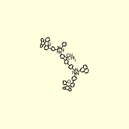 CC1(C)c2cc(-c3ccc(-c4nc(-c5ccc(-c6cccc7c6Oc6ccccc6C76c7ccccc7-c7ccccc76)cc5)nc(-c5cc6c7c(cccc7c5)CC=C6)n4)cc3)ccc2-c2ccc(-c3nc(-c4ccccc4)nc(-c4ccc(-c5cccc6c5Oc5ccccc5C65c6ccccc6-c6ccccc65)cc4)n3)cc21